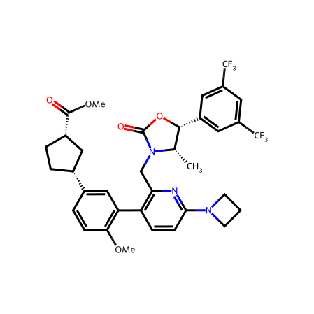 COC(=O)[C@H]1CC[C@@H](c2ccc(OC)c(-c3ccc(N4CCC4)nc3CN3C(=O)O[C@H](c4cc(C(F)(F)F)cc(C(F)(F)F)c4)[C@@H]3C)c2)C1